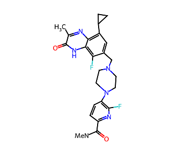 CNC(=O)c1ccc(N2CCN(Cc3cc(C4CC4)c4nc(C)c(=O)[nH]c4c3F)CC2)c(F)n1